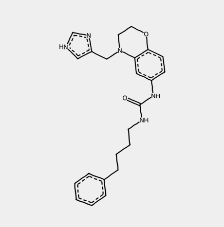 O=C(NCCCCc1ccccc1)Nc1ccc2c(c1)N(Cc1c[nH]cn1)CCO2